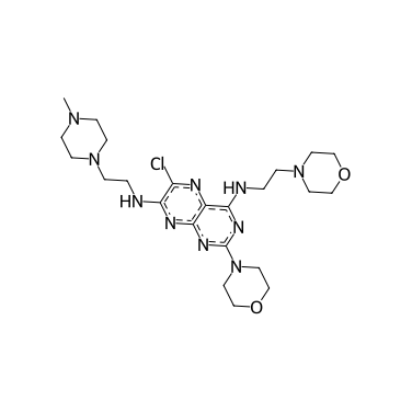 CN1CCN(CCNc2nc3nc(N4CCOCC4)nc(NCCN4CCOCC4)c3nc2Cl)CC1